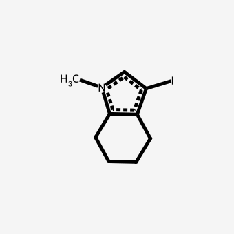 Cn1cc(I)c2c1CCCC2